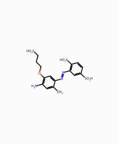 Cc1cc(N)c(OCCCS(=O)(=O)O)cc1N=Nc1cc(S(=O)(=O)O)ccc1S(=O)(=O)O